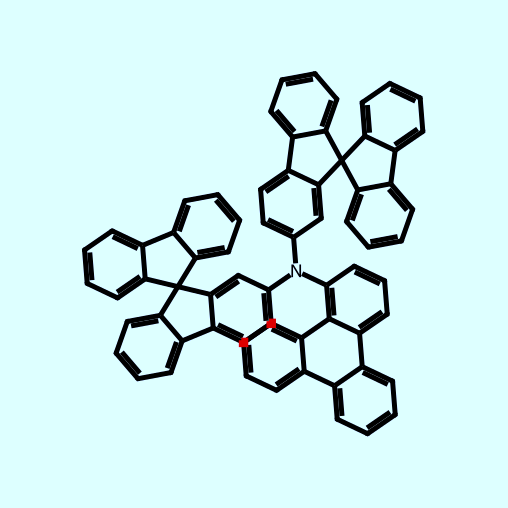 c1ccc2c(c1)-c1ccccc1C21c2ccccc2-c2ccc(N(c3ccc4c(c3)C3(c5ccccc5-c5ccccc53)c3ccccc3-4)c3cccc4c5ccccc5c5ccccc5c34)cc21